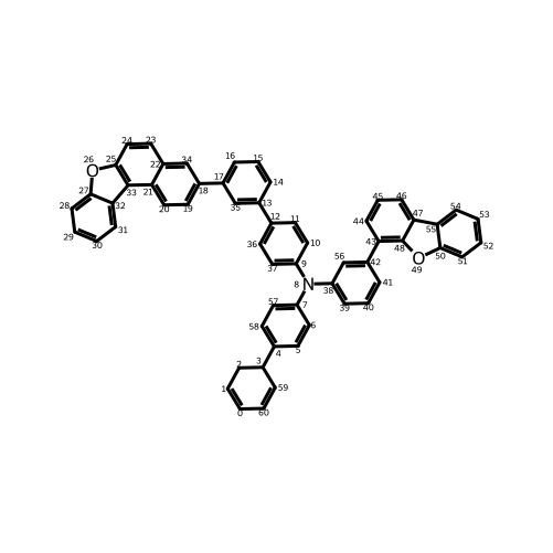 C1=CCC(c2ccc(N(c3ccc(-c4cccc(-c5ccc6c(ccc7oc8ccccc8c76)c5)c4)cc3)c3cccc(-c4cccc5c4oc4ccccc45)c3)cc2)C=C1